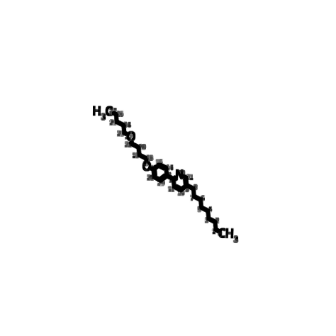 CCCCCCCCCc1ccc(-c2ccc(OCCCCOCCCCC)cc2)nc1